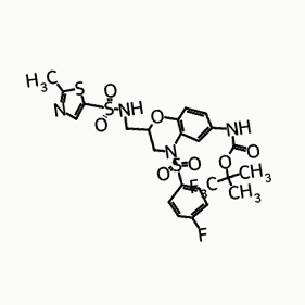 Cc1ncc(S(=O)(=O)NCC2CN(S(=O)(=O)c3ccc(F)cc3)c3cc(NC(=O)OC(C)(C)C(F)(F)F)ccc3O2)s1